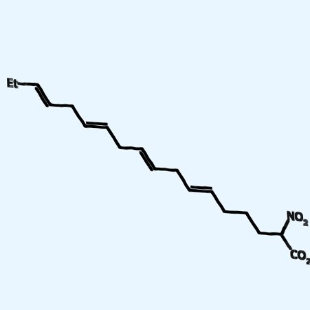 CCC=CCC=CCC=CCC=CCCCC(C(=O)O)[N+](=O)[O-]